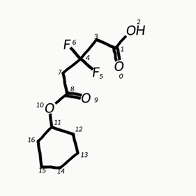 O=C(O)CC(F)(F)CC(=O)OC1CCCCC1